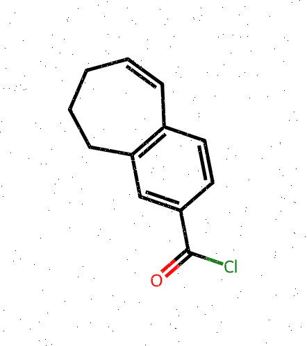 O=C(Cl)c1ccc2c(c1)CCCC=C2